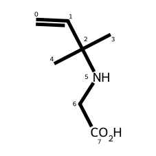 C=CC(C)(C)NCC(=O)O